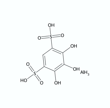 O=S(=O)(O)c1cc(S(=O)(=O)O)c(O)c(O)c1O.[AlH3]